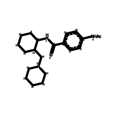 CC(=O)Nc1ccc(C(=O)NC2CCCCC2CN2CCCCC2)cc1